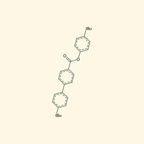 CC(C)(C)c1ccc(OC(=O)c2ccc(-c3ccc(C(C)(C)C)cc3)cc2)cc1